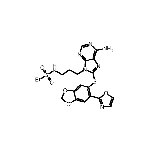 CCS(=O)(=O)NCCCn1c(Sc2cc3c(cc2-c2ncco2)OCO3)nc2c(N)ncnc21